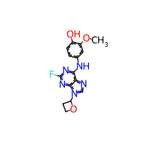 COc1cc(Nc2nc(F)nc3c2ncn3C2CCO2)ccc1O